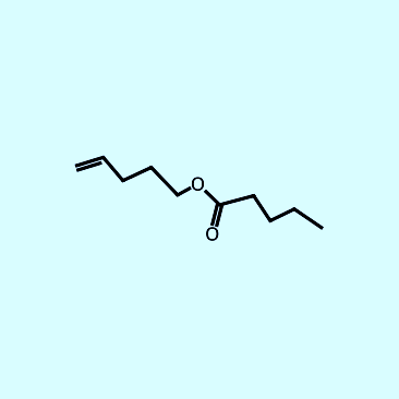 C=CCCCOC(=O)CCCC